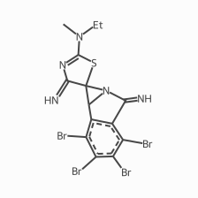 CCN(C)C1=NC(=N)C2(S1)C1c3c(Br)c(Br)c(Br)c(Br)c3C(=N)N12